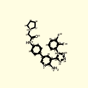 Nc1ncc(-c2ccc(NC(=O)CN3CCCC3)cc2)cc1-c1nnnn1-c1cccc(F)c1F